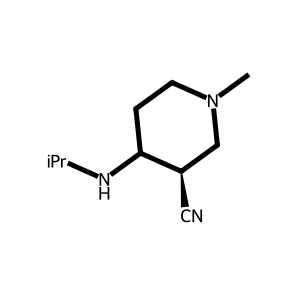 CC(C)NC1CCN(C)C[C@H]1C#N